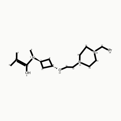 CC(C)=C(O)N(C)[C@H]1C[C@H](OCCN2CCN(CC(C)C)CC2)C1